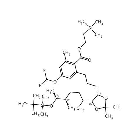 Cc1cc(OC(F)F)cc(CCC[C@@H]2OC(C)(C)O[C@@H]2C(C)CC[C@@H](C)[C@H](C)O[Si](C)(C)C(C)(C)C)c1C(=O)OCC[Si](C)(C)C